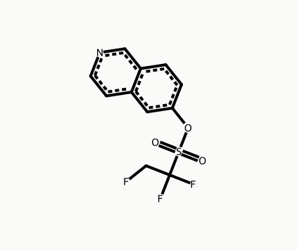 O=S(=O)(Oc1ccc2cnccc2c1)C(F)(F)CF